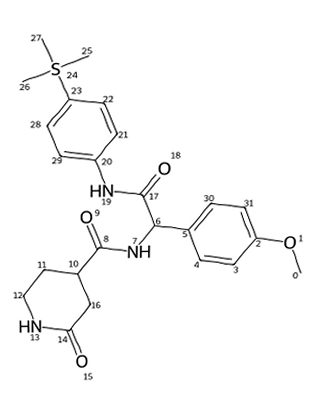 COc1ccc(C(NC(=O)C2CCNC(=O)C2)C(=O)Nc2ccc(S(C)(C)C)cc2)cc1